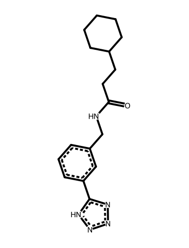 O=C(CCC1CCCCC1)NCc1cccc(-c2nnn[nH]2)c1